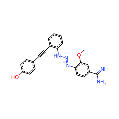 COc1cc(C(=N)N)ccc1/N=N/Nc1ccccc1C#Cc1ccc(O)cc1